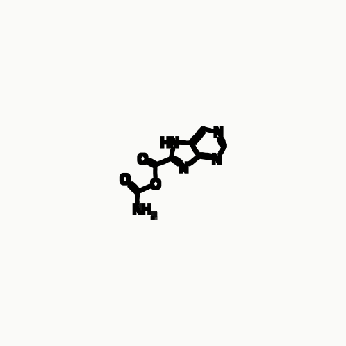 NC(=O)OC(=O)c1nc2ncncc2[nH]1